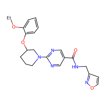 CCOc1ccccc1OC1CCCN(c2ncc(C(=O)NCc3ccon3)cn2)C1